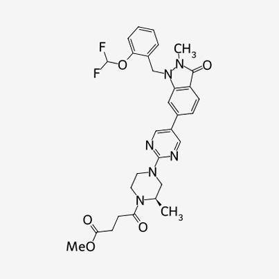 COC(=O)CCC(=O)N1CCN(c2ncc(-c3ccc4c(=O)n(C)n(Cc5ccccc5OC(F)F)c4c3)cn2)C[C@H]1C